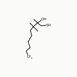 CC(C)(CCCCCC(F)(F)F)C(C)(O)CS